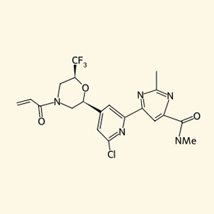 C=CC(=O)N1C[C@@H](C(F)(F)F)O[C@@H](c2cc(Cl)nc(-c3cc(C(=O)NC)nc(C)n3)c2)C1